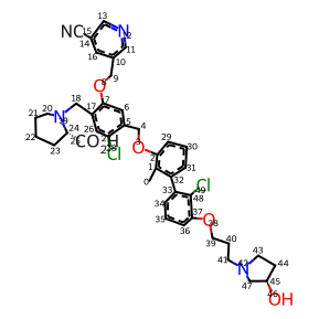 Cc1c(OCc2cc(OCc3cncc(C#N)c3)c(CN3CCCC[C@H]3C(=O)O)cc2Cl)cccc1-c1cccc(OCCCN2CC[C@@H](O)C2)c1Cl